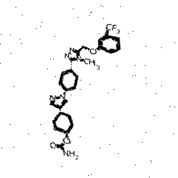 Cn1c(COc2cccc(C(F)(F)F)c2)nnc1[C@H]1CC[C@H](n2cc([C@H]3CC[C@H](OC(N)=O)CC3)cn2)CC1